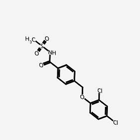 CS(=O)(=O)NC(=O)c1ccc(COc2ccc(Cl)cc2Cl)cc1